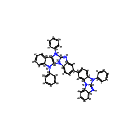 c1ccc(-n2c3ccc(-c4ccc5c(c4)nc4n(-c6ccccc6)c6c7ccccc7n(-c7ccccc7)c6n54)cc3n3c4ccccc4nc23)cc1